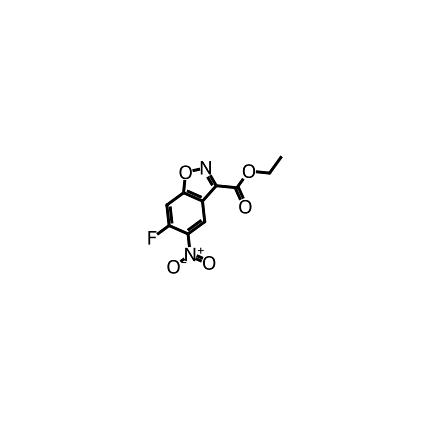 CCOC(=O)c1noc2cc(F)c([N+](=O)[O-])cc12